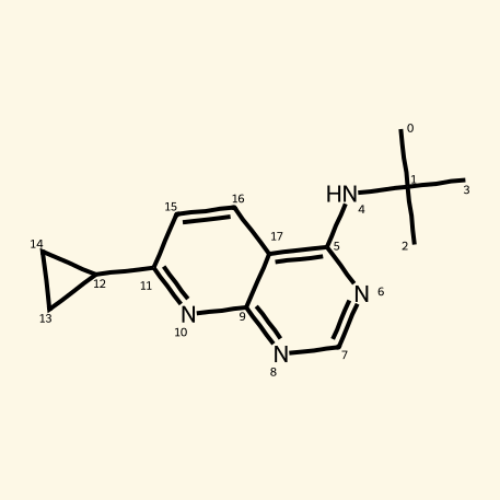 CC(C)(C)Nc1ncnc2nc(C3CC3)ccc12